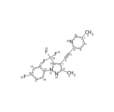 Cc1ccc(C#Cc2c(C)nn(-c3ccc(F)cc3)c2C(F)(F)F)nc1